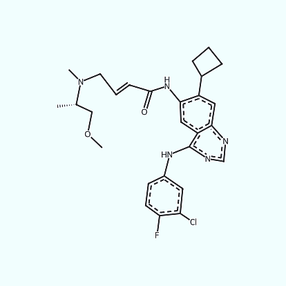 COC[C@H](C)N(C)CC=CC(=O)Nc1cc2c(Nc3ccc(F)c(Cl)c3)ncnc2cc1C1CCC1